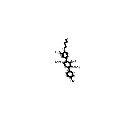 C=CCCOc1ccc(-c2c(OC)cc(-c3ccc(O)cc3)c(OC)c2O)cc1O